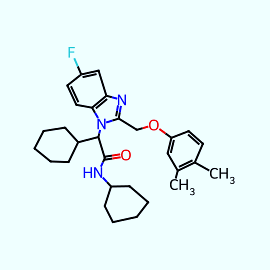 Cc1ccc(OCc2nc3cc(F)ccc3n2C(C(=O)NC2CCCCC2)C2CCCCC2)cc1C